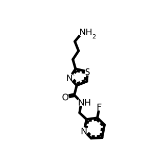 NCCCc1nc(C(=O)NCc2ncccc2F)cs1